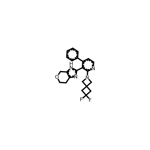 FC1(F)CC2(CN(c3nccc(-c4ccccc4)c3-c3nc4c([nH]3)COCC4)C2)C1